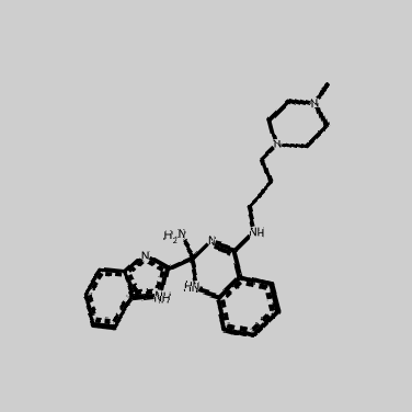 CN1CCN(CCCNC2=NC(N)(c3nc4ccccc4[nH]3)Nc3ccccc32)CC1